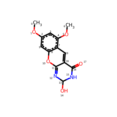 COc1cc(OC)c2c(c1)OC1=NC(O)NC(=O)C1=C2